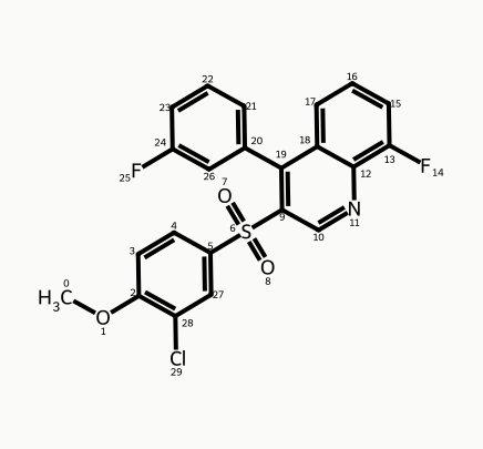 COc1ccc(S(=O)(=O)c2cnc3c(F)cccc3c2-c2cccc(F)c2)cc1Cl